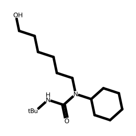 CC(C)(C)NC(=O)N(CCCCCCO)C1CCCCC1